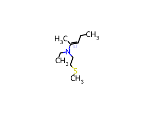 CC/C=C(\C)N(CC)CCSC